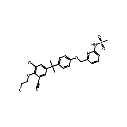 CC(C)(c1ccc(OCc2cccc(NS(C)(=O)=O)n2)cc1)c1cc(Cl)c(OCCCl)c(C#N)c1